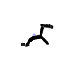 CN/C(C)=C/[N+](=O)[O-]